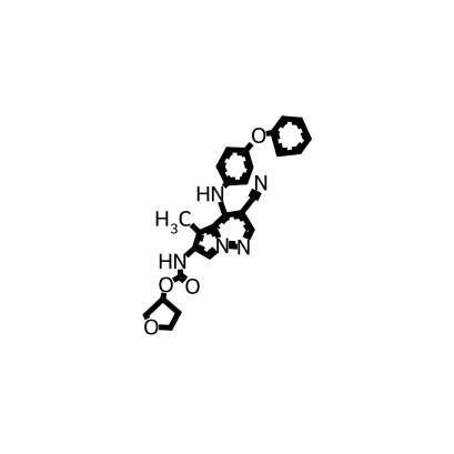 Cc1c(NC(=O)OC2CCOC2)cn2ncc(C#N)c(Nc3ccc(Oc4ccccc4)cc3)c12